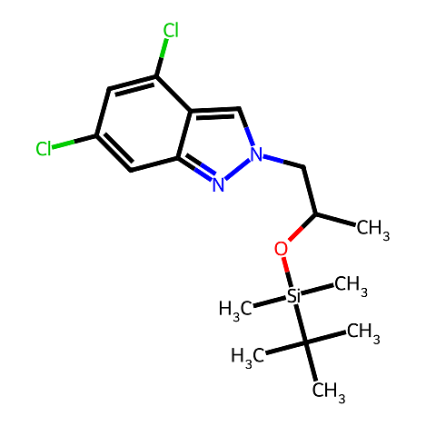 CC(Cn1cc2c(Cl)cc(Cl)cc2n1)O[Si](C)(C)C(C)(C)C